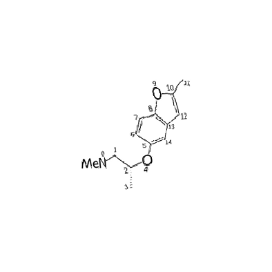 CNC[C@@H](C)Oc1ccc2oc(C)cc2c1